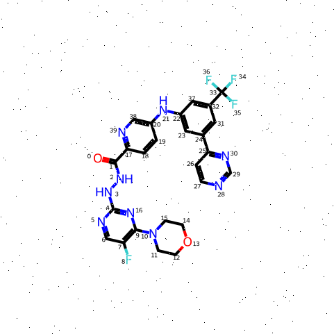 O=C(NNc1ncc(F)c(N2CCOCC2)n1)c1ccc(Nc2cc(-c3ccncn3)cc(C(F)(F)F)c2)cn1